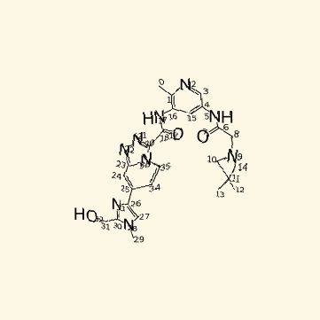 Cc1ncc(NC(=O)CN2CC(C)(C)C2)cc1NC(=O)c1nnc2cc(-c3cn(C)c(CO)n3)ccn12